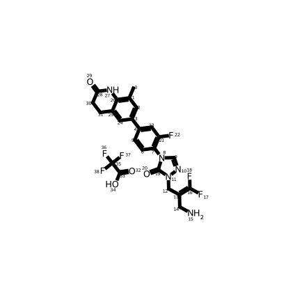 Cc1cc(-c2ccc(-n3cnn(CC(CN)=C(F)F)c3=O)c(F)c2)cc2c1NC(=O)CC2.O=C(O)C(F)(F)F